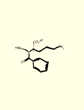 CCCCN(C(=O)c1ccccc1)[C@@H](CCCN)C(=O)O